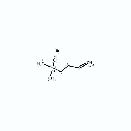 C=CCC[N+](C)(C)C.[Br-]